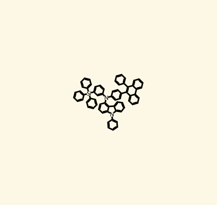 c1ccc(-c2c(-c3ccc(N(c4cccc([Si](c5ccccc5)(c5ccccc5)c5ccccc5)c4)c4cccc5c4c4ccccc4n5-c4ccccc4)cc3)c3ccccc3c3ccccc23)cc1